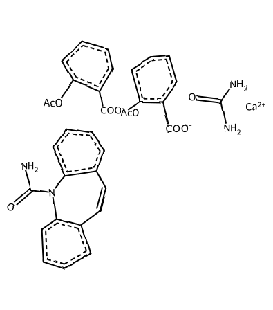 CC(=O)Oc1ccccc1C(=O)[O-].CC(=O)Oc1ccccc1C(=O)[O-].NC(=O)N1c2ccccc2C=Cc2ccccc21.NC(N)=O.[Ca+2]